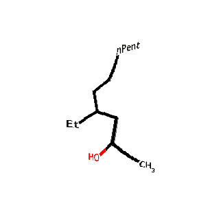 CCCCCCCC(CC)CC(C)O